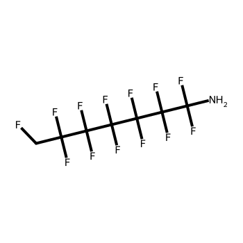 NC(F)(F)C(F)(F)C(F)(F)C(F)(F)C(F)(F)C(F)(F)CF